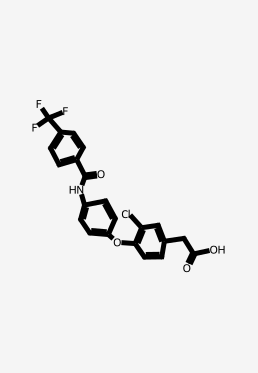 O=C(O)Cc1ccc(Oc2ccc(NC(=O)c3ccc(C(F)(F)F)cc3)cc2)c(Cl)c1